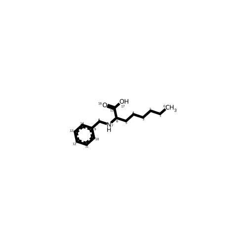 CCCCCCC(NCc1ccccc1)C(=O)O